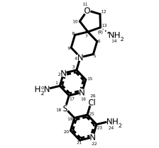 Nc1nc(N2CCC3(CC2)COC[C@@H]3N)cnc1Sc1ccnc(N)c1Cl